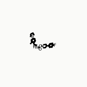 Cc1cc(N2CCCC2)ccc1CCNC(=O)ON1CCC(c2ccc(F)cc2)CC1